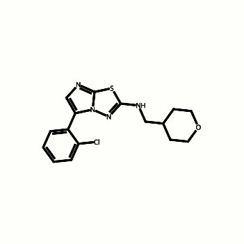 Clc1ccccc1-c1cnc2sc(NCC3CCOCC3)nn12